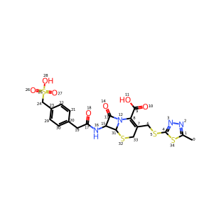 Cc1nnc(SCC2=C(C(=O)O)N3C(=O)C(NC(=O)Cc4ccc(CS(=O)(=O)O)cc4)C3SC2)s1